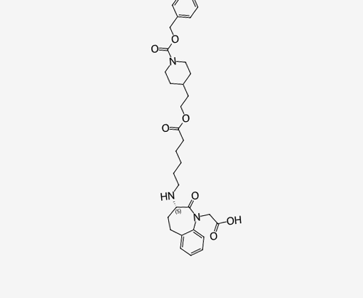 O=C(O)CN1C(=O)[C@@H](NCCCCCC(=O)OCCC2CCN(C(=O)OCc3ccccc3)CC2)CCc2ccccc21